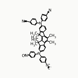 [C-]#[N+]c1ccc(N(c2ccc([N+]#[C-])cc2)c2ccc3c(c2)C(C)(C)c2c-3c(C)c(C)c3c2C(C)(C)c2cc(N(c4ccc(C#N)cc4)c4ccc(C#N)cc4)ccc2-3)cc1